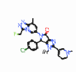 Cc1cc(N2C(=O)c3nc(C4=CCCN(C)C4)n(C(C)C)c3C2c2ccc(Cl)cc2)cn2c(CF)nnc12